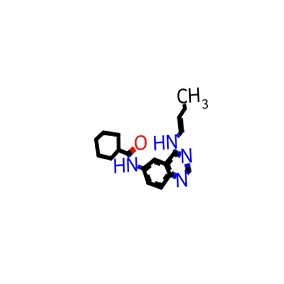 CCC=CNc1ncnc2ccc(NC(=O)C3CCCCC3)cc12